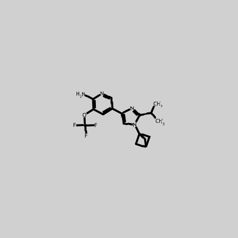 CC(C)c1nc(-c2cnc(N)c(OC(F)(F)F)c2)cn1C12CC(C1)C2